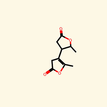 CC1=C(C2CC(=O)OC2C)CC(=O)O1